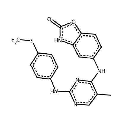 Cc1cnc(Nc2ccc(SC(F)(F)F)cc2)nc1Nc1ccc2oc(=O)[nH]c2c1